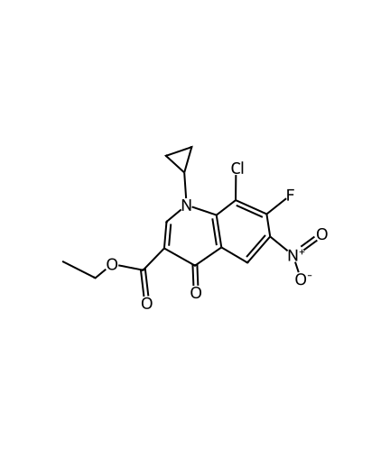 CCOC(=O)c1cn(C2CC2)c2c(Cl)c(F)c([N+](=O)[O-])cc2c1=O